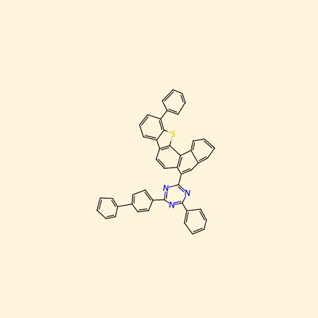 c1ccc(-c2ccc(-c3nc(-c4ccccc4)nc(-c4cc5ccccc5c5c4ccc4c6cccc(-c7ccccc7)c6sc45)n3)cc2)cc1